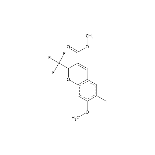 COC(=O)C1=Cc2cc(I)c(OC)cc2OC1C(F)(F)F